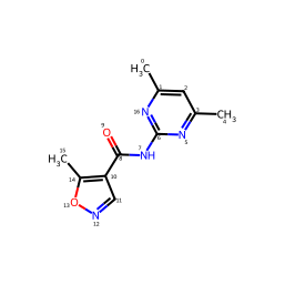 Cc1cc(C)nc(NC(=O)c2cnoc2C)n1